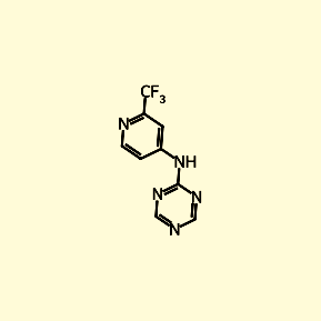 FC(F)(F)c1cc(Nc2ncncn2)ccn1